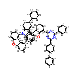 c1ccc(-c2ccc(-c3nc(-c4ccccc4)nc(-c4cccc5c4oc4cc(-c6cccc7oc8cccc(-n9c%10ccccc%10c%10cc(-c%11ccccc%11)ccc%109)c8c67)ccc45)n3)cc2)cc1